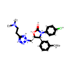 CCN(CC)CCc1nnn(C[C@@H]2OC(=O)N(c3ccc(Cl)cc3)[C@H]2c2cccc(OC)c2)n1